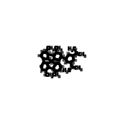 Cc1cccc2c1-c1c(C)cccc1C21c2cccc(C)c2-c2c(C)cc(-c3cc(N(C)C)cc(N(C)C)c3)cc21